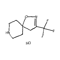 Cl.FC(F)(F)C1=NOC2(CCNCC2)C1